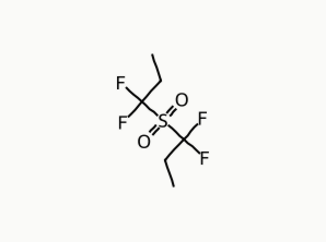 CCC(F)(F)S(=O)(=O)C(F)(F)CC